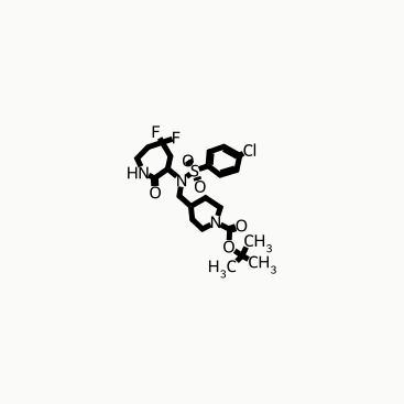 CC(C)(C)OC(=O)N1CCC(CN(C2CC(F)(F)CCNC2=O)S(=O)(=O)c2ccc(Cl)cc2)CC1